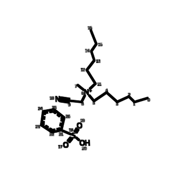 CCCCCC[N+](C)(CC#N)CCCCCC.O=S(=O)(O)c1ccccc1